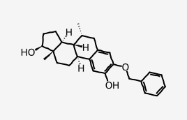 C[C@@H]1Cc2cc(OCc3ccccc3)c(O)cc2[C@H]2CC[C@]3(C)[C@@H](O)CC[C@H]3[C@H]12